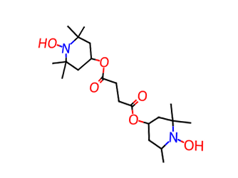 CC1CC(OC(=O)CCC(=O)OC2CC(C)(C)N(O)C(C)(C)C2)CC(C)(C)N1O